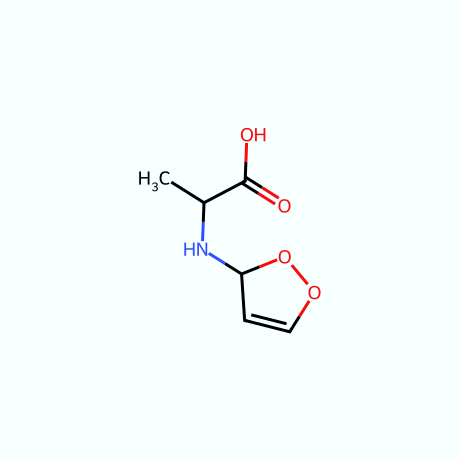 CC(NC1C=COO1)C(=O)O